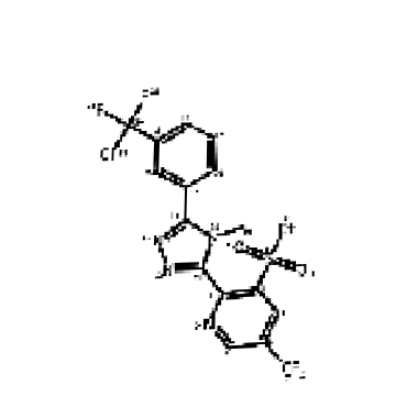 CCS(=O)(=O)c1cc(C(F)(F)F)cnc1-c1nnc(-c2cccc(C(F)(F)Cl)c2)n1C